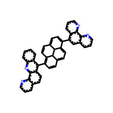 C1=CC2=C(c3c4ccccc4nc4c3ccc3cccnc34)C=CC3=CC=C4C(c5cc6cccnc6c6ncccc56)=CC=C1C4C32